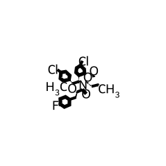 CCC[C@@H](OC=O)N1C(=O)[C@@H](Cc2ccc(F)cc2)O[C@H](c2ccc(Cl)cc2C)[C@@H]1c1ccc(Cl)cc1